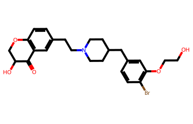 O=C1c2cc(CCN3CCC(Cc4ccc(Br)c(OCCO)c4)CC3)ccc2OCC1O